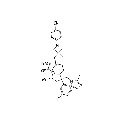 CCCC(CC(Cn1ccnc1C)(c1cccc(F)c1)C1CCN(CC2(C)CN(c3ccc(C#N)cc3)C2)CC1)OC(=O)NC